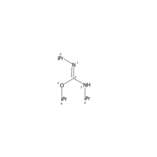 CC(C)N=C(NC(C)C)OC(C)C